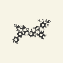 Cc1cc(-n2nc3c(c2-n2ccn(-c4ccc(P(C)(C)=O)c(N)c4)c2=O)[C@H](C)N(C(=O)c2cc4cc(C5CCOCC5)ccc4n2[C@@]2(c4noc(=O)[nH]4)C[C@@H]2C)CC3)cc(C)c1F